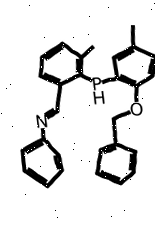 Cc1ccc(OCc2ccccc2)c(Pc2c(C)cccc2/C=N/c2ccccc2)c1